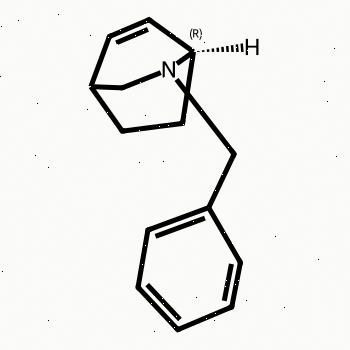 C1=C[C@H]2CCC1CN2Cc1ccccc1